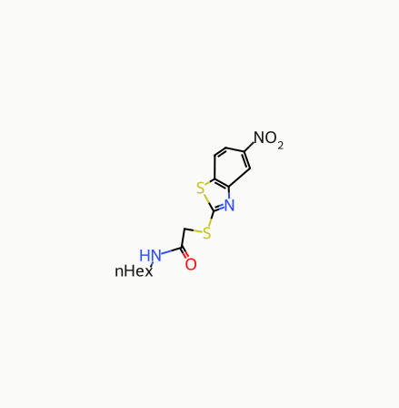 CCCCCCNC(=O)CSc1nc2cc([N+](=O)[O-])ccc2s1